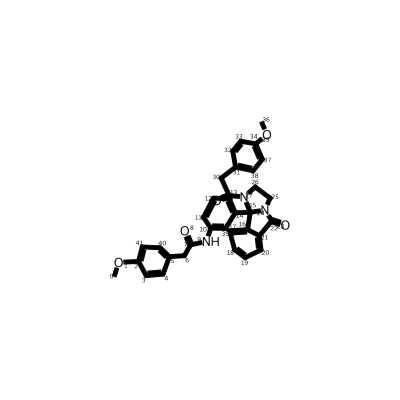 COc1ccc(CC(=O)Nc2cccc(C34c5ccccc5C(=O)N3CCN4C(=O)Cc3ccc(OC)cc3)c2)cc1